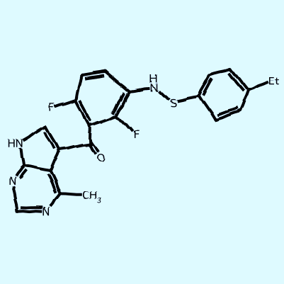 CCc1ccc(SNc2ccc(F)c(C(=O)c3c[nH]c4ncnc(C)c34)c2F)cc1